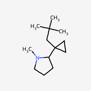 CN1CCCC1C1(CC(C)(C)C)CC1